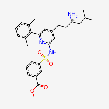 COC(=O)c1cccc(S(=O)(=O)Nc2cc(CC[C@H](N)CC(C)C)cc(-c3c(C)cccc3C)n2)c1